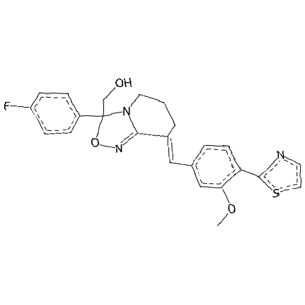 COc1cc(/C=C2\CCCN3C2=NOC3(CO)c2ccc(F)cc2)ccc1-c1nccs1